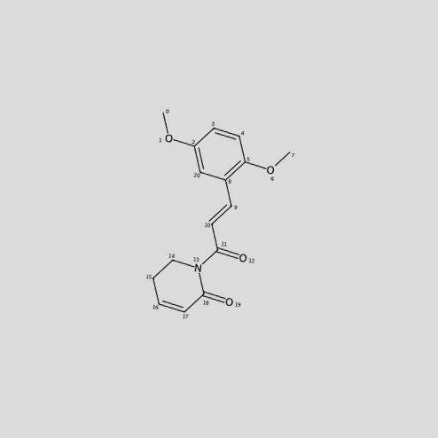 COc1ccc(OC)c(/C=C/C(=O)N2CCC=CC2=O)c1